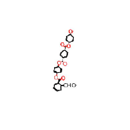 O=[C]c1ccccc1C(=O)Oc1ccc(OC(=O)[C@H]2CC[C@H](C(=O)O[C@H]3CC[C@H]([O])CC3)CC2)cc1